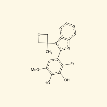 CCc1c(-c2nc3ccccc3n2C2(C)COC2)cc(OC)c(O)c1O